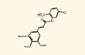 COc1cc(/C=C/C(=O)Nc2cc(Cl)ccc2C(=O)O)cc(OC)c1OC